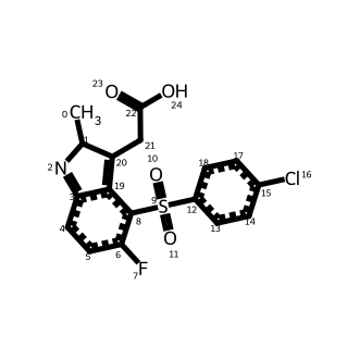 CC1N=c2ccc(F)c(S(=O)(=O)c3ccc(Cl)cc3)c2=C1CC(=O)O